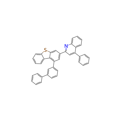 c1ccc(-c2cccc(-c3cc(-c4cc(-c5ccccc5)c5ccccc5n4)cc4sc5ccccc5c34)c2)cc1